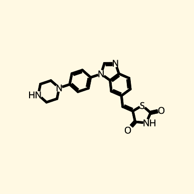 O=C1NC(=O)/C(=C/c2ccc3ncn(-c4ccc(N5CCNCC5)cc4)c3c2)S1